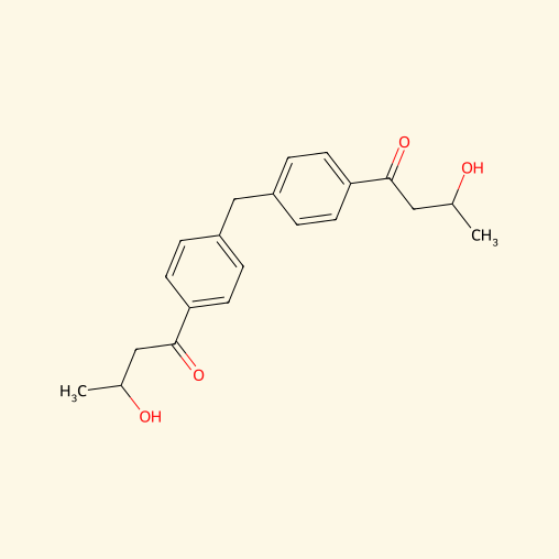 CC(O)CC(=O)c1ccc(Cc2ccc(C(=O)CC(C)O)cc2)cc1